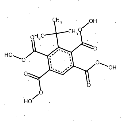 CC(C)(C)c1c(C(=O)OO)c(C(=O)OO)cc(C(=O)OO)c1C(=O)OO